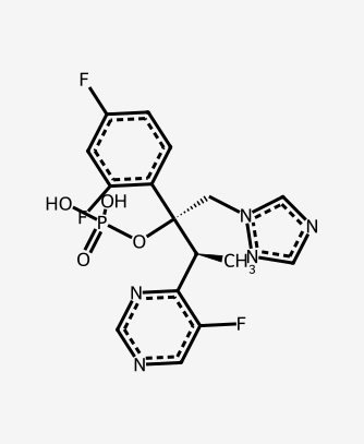 C[C@@H](c1ncncc1F)[C@@](Cn1cncn1)(OP(=O)(O)O)c1ccc(F)cc1F